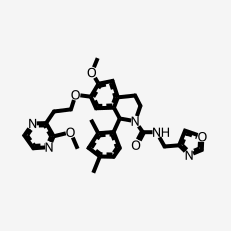 COc1cc2c(cc1OCCc1nccnc1OC)C(c1ccc(C)cc1C)N(C(=O)NCc1cocn1)CC2